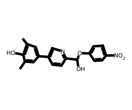 Cc1cc(-c2ccc(C(O)Oc3ccc([N+](=O)[O-])cc3)nc2)cc(C)c1O